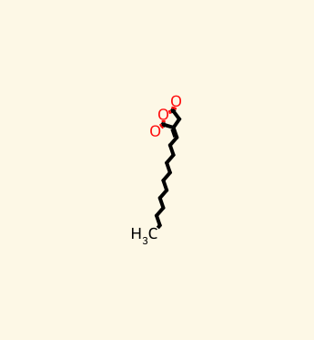 CCCCCCCCCCCC=C1CC(=O)OC1=O